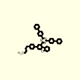 C/C=C\C=C/c1ccc(-c2cc(-c3nc(-c4ccc(-c5ccccc5)cc4)nc(-c4ccc(-c5ccccc5)cc4)n3)c3c(c2)oc2ccccc23)cc1